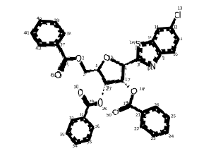 O=C(OC[C@H]1O[C@@H](c2nc3ccc(Cl)cc3s2)[C@H](OC(=O)c2ccccc2)[C@@H]1OC(=O)c1ccccc1)c1ccccc1